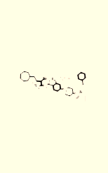 COc1cc(N2CCC(N(C)C(=O)OCc3ccccc3)CC2)ccc1-c1nc2[nH]nc(CC3CCCCCC3)c2c(=O)[nH]1